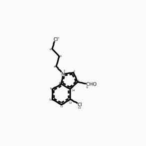 O=Cc1cn(CCCCl)c2cccc(Cl)c12